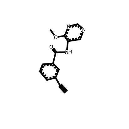 C#Cc1cccc(C(=O)Nc2cncnc2OC)c1